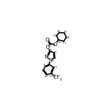 O=C(Oc1ccn(-c2cccc(C(F)(F)F)c2)n1)OC1CCCCC1